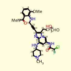 CNC(=O)c1cccc(OC)c1NCC#Cc1nc2c(NC3CCN(C)CC3)cc(NC(=O)C(F)Cl)cn2c1CC(F)(F)F.O=CO